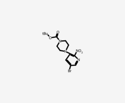 CC(C)(C)OC(=O)N1CCN(c2cc(Br)cnc2[N+](=O)[O-])CC1